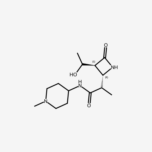 CC(C(=O)NC1CCN(C)CC1)[C@H]1NC(=O)[C@@H]1C(C)O